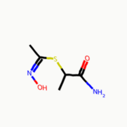 CC(=NO)SC(C)C(N)=O